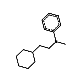 CN(CCC1CCCCC1)c1ccccc1